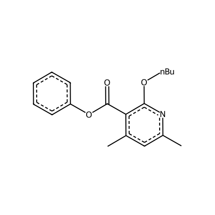 CCCCOc1nc(C)cc(C)c1C(=O)Oc1ccccc1